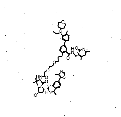 CCN(c1cc(-c2ccc(CCCOCCOCC(=O)NC(C(=O)N3C[C@H](O)C[C@H]3C(=O)NC(C)c3ccc(-c4scnc4C)cc3)C(C)(C)C)c(C(=O)NCc3c(C)cc(C)[nH]c3=O)c2)ccc1C)C1CCOCC1